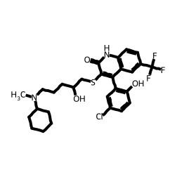 CN(CCCC(O)CSc1c(-c2cc(Cl)ccc2O)c2cc(C(F)(F)F)ccc2[nH]c1=O)C1CCCCC1